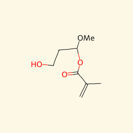 C=C(C)C(=O)OC(CCO)OC